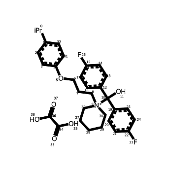 CC(C)c1ccc(OCCC[N+]2(C(O)(c3ccc(F)cc3)c3ccc(F)cc3)CCCCC2)cc1.O=C(O)C(=O)O